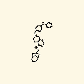 c1ccc(Oc2ccc(CN3CCc4c(ncnc4NCC45CC6CCCC(C4)C65)C3)cc2)cc1